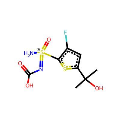 CC(C)(O)c1cc(F)c([S@@](N)(=O)=NC(=O)O)s1